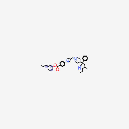 C\C=C/C(=C\C=C\CC)OC(=O)c1ccc(N2CC(CN3CCC(C(C#N)(CC(C)CCC)c4ccccc4)CC3)C2)cc1